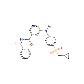 CC(=O)N(c1ccc(S(=O)(=O)CC2CC2)cc1)c1cccc(C(=O)NC(C)c2ccccc2)c1